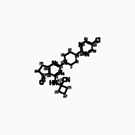 N#CC1(Nc2nc(N3CCC(c4ncc(Cl)cn4)CC3)nc3c2[S+]([O-])CC3)CCC1